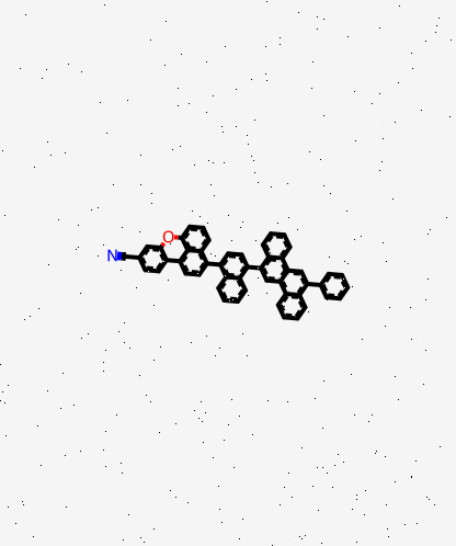 N#Cc1ccc2c(c1)Oc1cccc3c(-c4ccc(-c5cc6c7ccccc7c(-c7ccccc7)cc6c6ccccc56)c5ccccc45)ccc-2c13